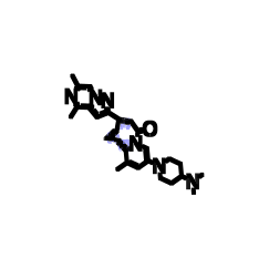 CC1=CC(N2CCC(N(C)C)CC2)=CN2C(=O)\C=C(c3cc4c(C)nc(C)cn4n3)/C=C/C=C\12